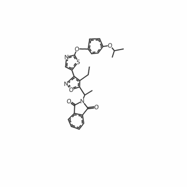 CCc1c(-c2cnc(Oc3ccc(OC(C)C)cc3)s2)noc1C(C)N1C(=O)c2ccccc2C1=O